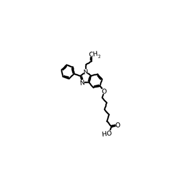 C=CCn1c(-c2ccccc2)nc2cc(OCCCCCC(=O)O)ccc21